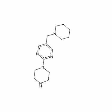 c1nc(N2CCNCC2)ncc1CN1CCCCC1